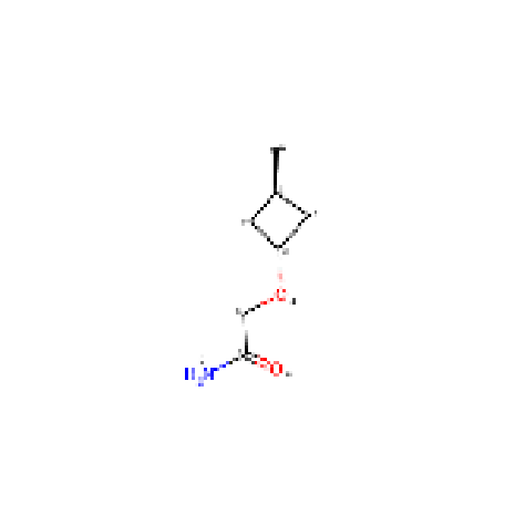 C[C@H]1C[C@H](OCC(N)=O)C1